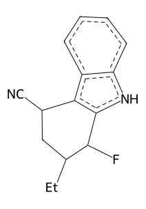 CCC1CC(C#N)c2c([nH]c3ccccc23)C1F